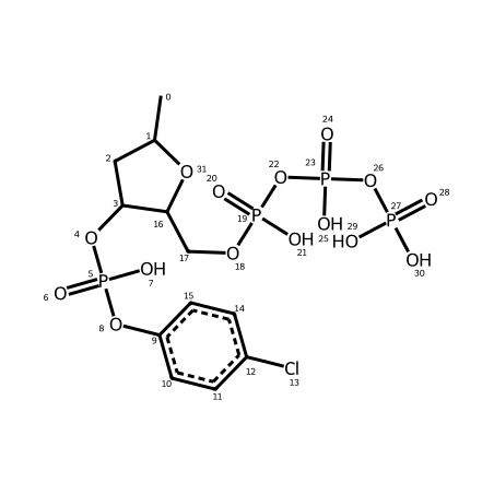 CC1CC(OP(=O)(O)Oc2ccc(Cl)cc2)C(COP(=O)(O)OP(=O)(O)OP(=O)(O)O)O1